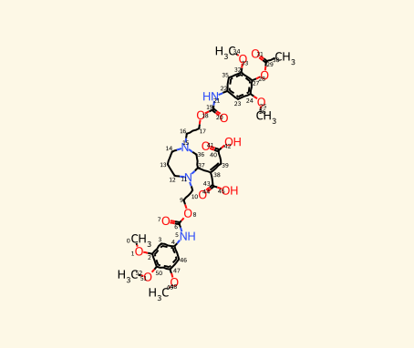 COc1cc(NC(=O)OCCN2CCCN(CCOC(=O)Nc3cc(OC)c(OC(C)=O)c(OC)c3)CC2/C(=C\C(=O)O)C(=O)O)cc(OC)c1OC